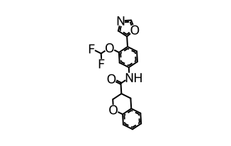 O=C(Nc1ccc(-c2cnco2)c(OC(F)F)c1)C1COc2ccccc2C1